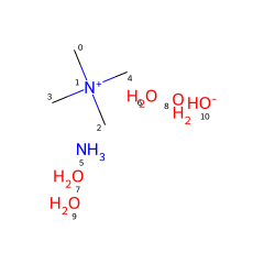 C[N+](C)(C)C.N.O.O.O.O.[OH-]